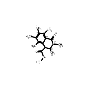 COC(=O)C1c2c(C)c(C)c(C)c(C)c2C(=O)N(C)C1C